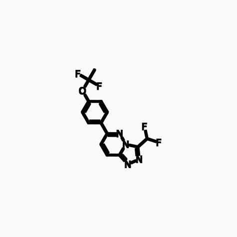 CC(F)(F)Oc1ccc(-c2ccc3nnc(C(F)F)n3n2)cc1